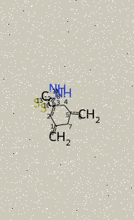 C=C1C=CCC(=C)C1.N=C=S.N=C=S